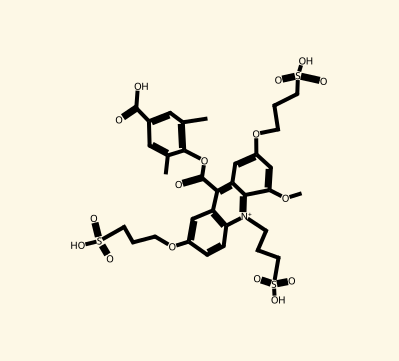 COc1cc(OCCCS(=O)(=O)O)cc2c(C(=O)Oc3c(C)cc(C(=O)O)cc3C)c3cc(OCCCS(=O)(=O)O)ccc3[n+](CCCS(=O)(=O)O)c12